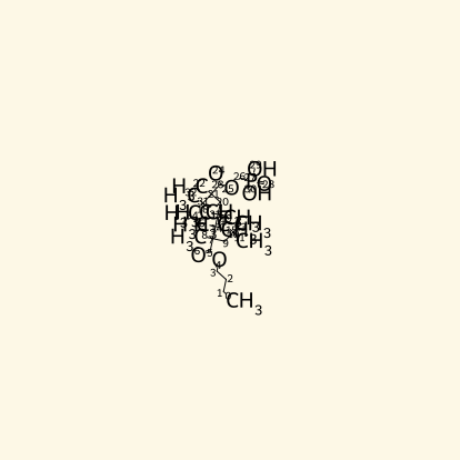 CCCCOC(=O)C(C)(CC(C)(C)C)C(C)(C)C(C)(C)CC(C)(C(=O)OCP(=O)(O)O)C(C)(C)C